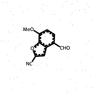 COc1ccc(C=O)c2cc(C#N)oc12